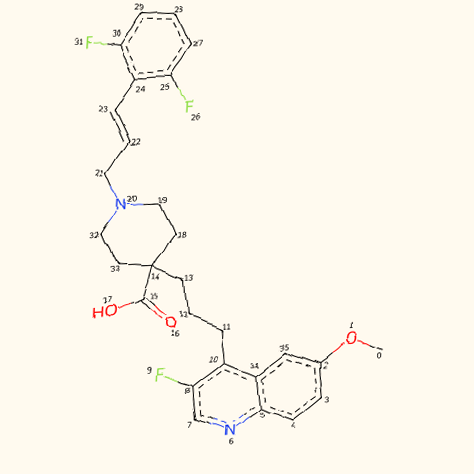 COc1ccc2ncc(F)c(CCCC3(C(=O)O)CCN(CC=Cc4c(F)cccc4F)CC3)c2c1